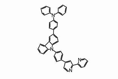 c1ccc(N(c2ccccc2)c2ccc(-c3ccc4c(c3)c3ccccc3n4-c3ccc(-c4ccnc(-c5ccccn5)c4)cc3)cc2)cc1